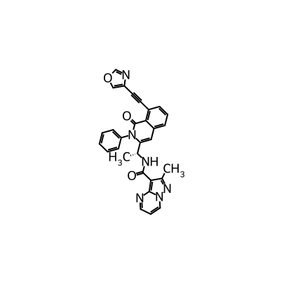 Cc1nn2cccnc2c1C(=O)N[C@H](C)c1cc2cccc(C#Cc3cocn3)c2c(=O)n1-c1ccccc1